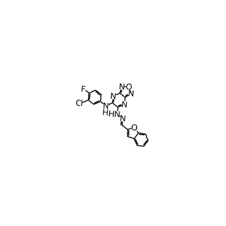 Fc1ccc(Nc2nc3nonc3nc2N/N=C/c2cc3ccccc3o2)cc1Cl